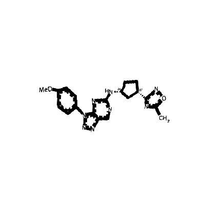 COc1ccc(-n2nnc3cnc(N[C@@H]4CC[C@H](c5noc(C)n5)C4)nc32)cc1